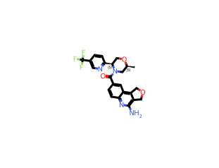 C[C@H]1CN(C(=O)c2ccc3nc(N)c4c(c3c2)COC4)[C@@H](c2ccc(C(F)(F)F)cn2)CO1